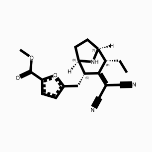 CC[C@@H]1C(=C(C#N)C#N)[C@H](Cc2ccc(C(=O)OC)o2)[C@H]2CC[C@@H]1N2